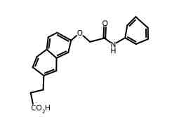 O=C(O)CCc1ccc2ccc(OCC(=O)Nc3ccccc3)cc2c1